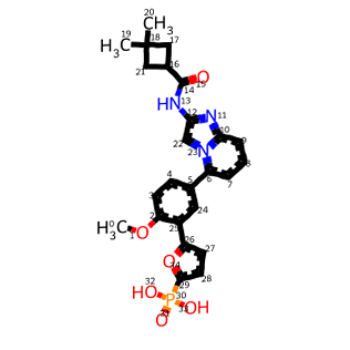 COc1ccc(-c2cccc3nc(NC(=O)C4CC(C)(C)C4)cn23)cc1-c1ccc(P(=O)(O)O)o1